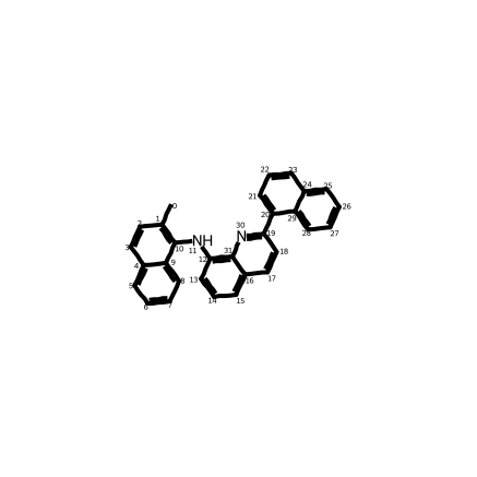 Cc1ccc2ccccc2c1Nc1cccc2ccc(-c3cccc4ccccc34)nc12